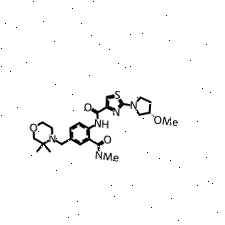 CNC(=O)c1cc(CN2CCOCC2(C)C)ccc1NC(=O)c1csc(N2CC[C@H](OC)C2)n1